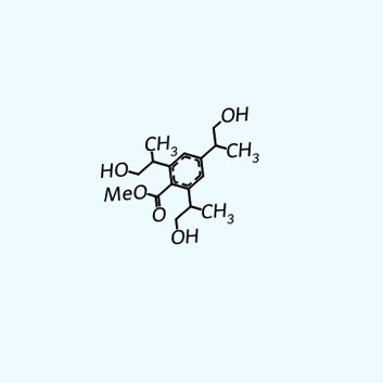 COC(=O)c1c(C(C)CO)cc(C(C)CO)cc1C(C)CO